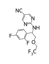 N#Cc1cnc(NC(COCC(F)(F)F)c2ccc(F)cc2F)nc1